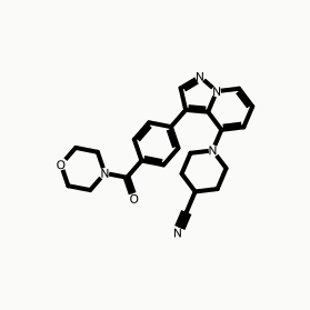 N#CC1CCN(c2cccn3ncc(-c4ccc(C(=O)N5CCOCC5)cc4)c23)CC1